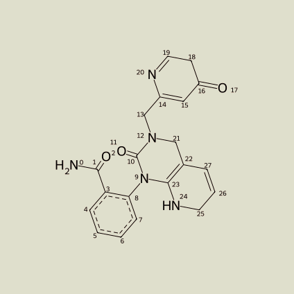 NC(=O)c1ccccc1N1C(=O)N(CC2=CC(=O)CC=N2)CC2=C1NCC=C2